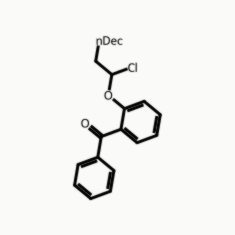 CCCCCCCCCCCC(Cl)Oc1ccccc1C(=O)c1ccccc1